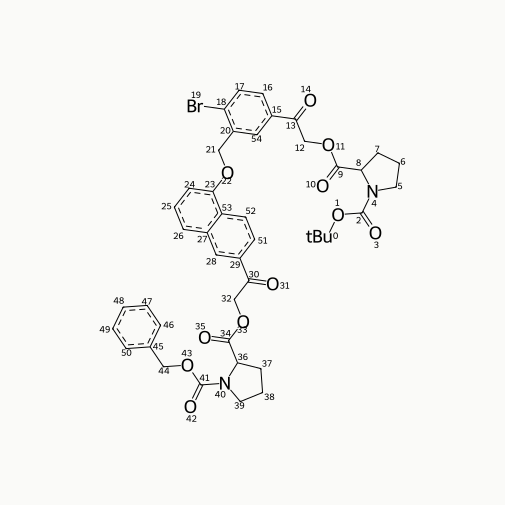 CC(C)(C)OC(=O)N1CCCC1C(=O)OCC(=O)c1ccc(Br)c(COc2cccc3cc(C(=O)COC(=O)C4CCCN4C(=O)OCc4ccccc4)ccc23)c1